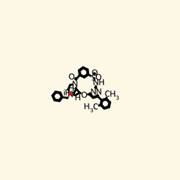 Cc1cccc(C)c1-c1cc2nc(n1)NS(=O)(=O)c1cccc(c1)C(=O)N1CCN(Cc3ccccc3)C[C@H](O2)[C@H]1CC(C)C